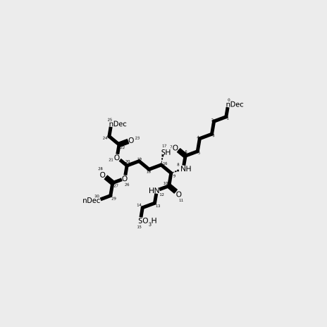 CCCCCCCCCCCCCCCC(=O)N[C@H](C(=O)NCCS(=O)(=O)O)[C@@H](S)CCC(OC(=O)CCCCCCCCCCC)OC(=O)CCCCCCCCCCC